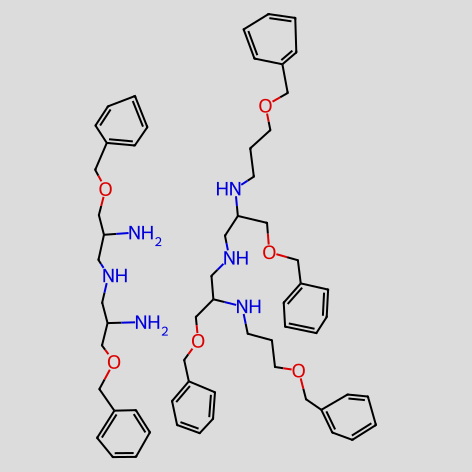 NC(CNCC(N)COCc1ccccc1)COCc1ccccc1.c1ccc(COCCCNC(CNCC(COCc2ccccc2)NCCCOCc2ccccc2)COCc2ccccc2)cc1